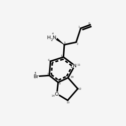 C=CC[C@H](N)c1cc(Br)c2c(n1)CCO2